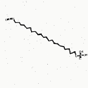 O=C=NCCCCCCCCCCCCCCCCCCCCCCOP(=O)(O)O